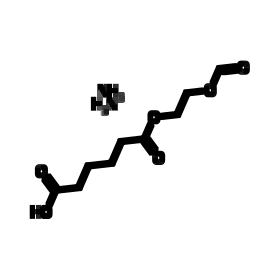 N.N.O=COCCOC(=O)CCCCC(=O)O